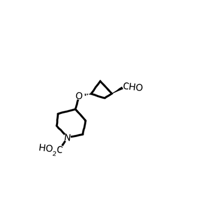 O=C[C@H]1C[C@H](OC2CCN(C(=O)O)CC2)C1